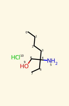 CCCCC(N)(CC)CO.Cl